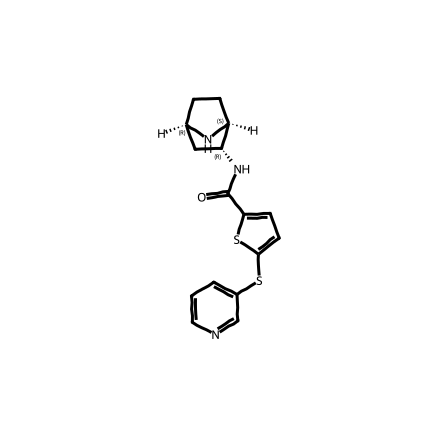 O=C(N[C@@H]1C[C@H]2CC[C@@H]1N2)c1ccc(Sc2cccnc2)s1